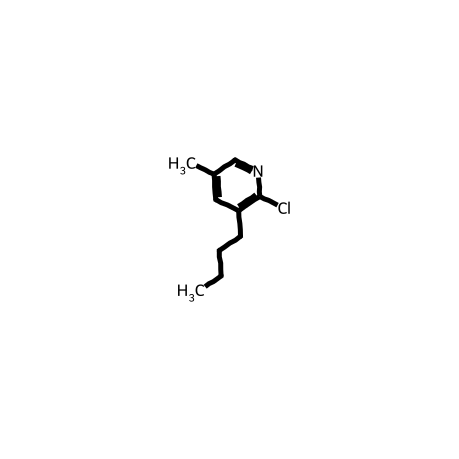 CCCCc1cc(C)cnc1Cl